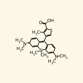 Cc1c(C2=C3C=CC(=[N+](C)C)C=C3[Si](C)(C)c3cc(N(C)C)ccc32)csc1C(=O)O